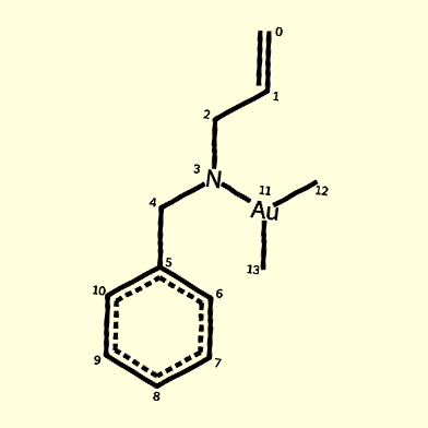 C=CC[N](Cc1ccccc1)[Au]([CH3])[CH3]